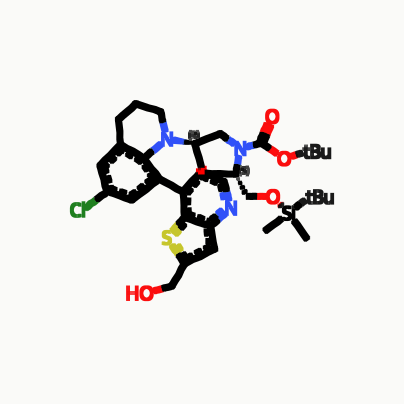 CC(C)(C)OC(=O)N1C[C@H](N2CCCc3cc(Cl)cc(-c4ccnc5cc(CO)sc45)c32)C[C@H]1CO[Si](C)(C)C(C)(C)C